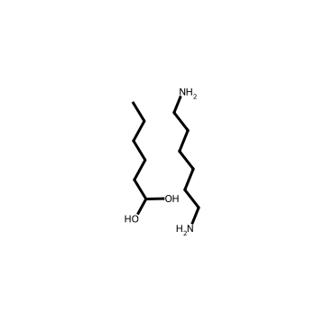 CCCCCC(O)O.NCCCCCCN